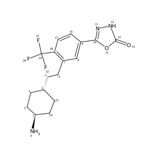 N[C@H]1CC[C@H](CCc2cc(-c3n[nH]c(=O)o3)ccc2C(F)(F)F)CC1